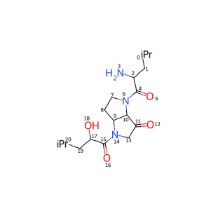 CC(C)CC(N)C(=O)N1CCC2C1C(=O)CN2C(=O)C(O)CC(C)C